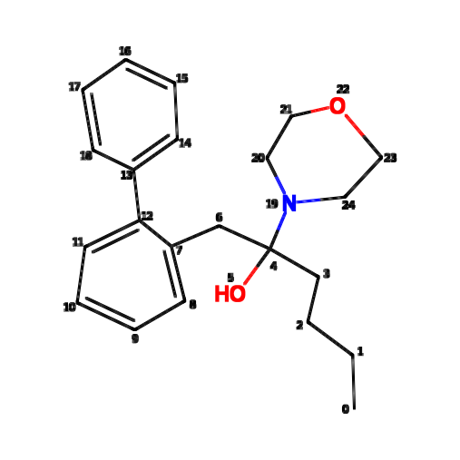 CCCCC(O)(Cc1ccccc1-c1ccccc1)N1CCOCC1